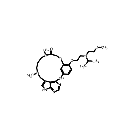 COCCN(CCOc1ccc2cc1OCC(=O)N(C)CCCN(C)Cc1c[nH]c3ncnc(c13)N2)C(C)C